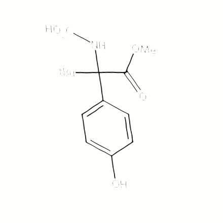 COC(=O)C(NC(=O)O)(c1ccc(O)cc1)C(C)(C)C